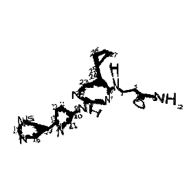 NC(=O)CCNc1nc(Nc2ccc(-c3cncnc3)nc2)ncc1C1CC1